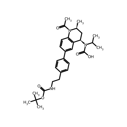 CC(=O)N1c2ccc(-c3ccc(CCNC(=O)OC(C)(C)C)cc3)cc2[C@H](N(C(=O)O)C(C)C)C[C@@H]1C